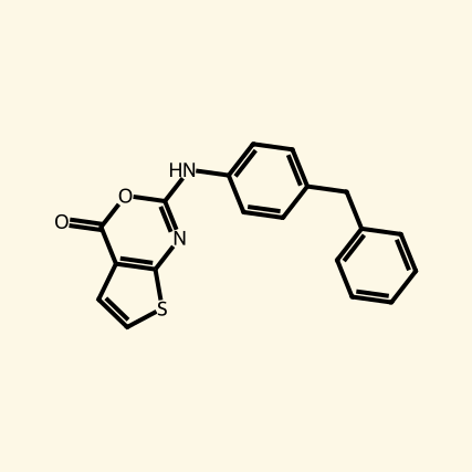 O=c1oc(Nc2ccc(Cc3ccccc3)cc2)nc2sccc12